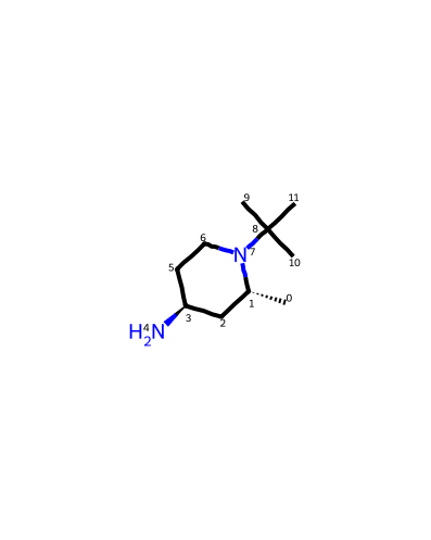 C[C@@H]1C[C@@H](N)CCN1C(C)(C)C